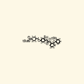 CC(C)(C)OC(=O)N1CCC(COc2ccc(NC(=O)Nc3cccnc3Oc3ccccc3C(C)(C)C)c(F)c2)CC1